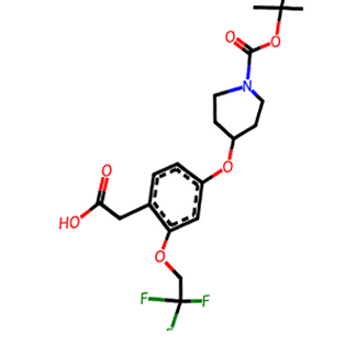 CC(C)(C)OC(=O)N1CCC(Oc2ccc(CC(=O)O)c(OCC(F)(F)F)c2)CC1